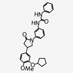 COc1ccc(C2CC(=O)N(c3cccc(NC(=O)Nc4ccccc4)c3)C2)cc1OC1CCCC1